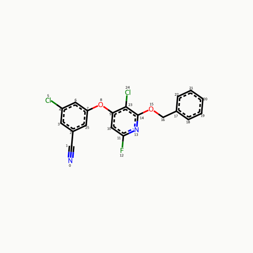 N#Cc1cc(Cl)cc(Oc2cc(F)nc(OCc3ccccc3)c2Cl)c1